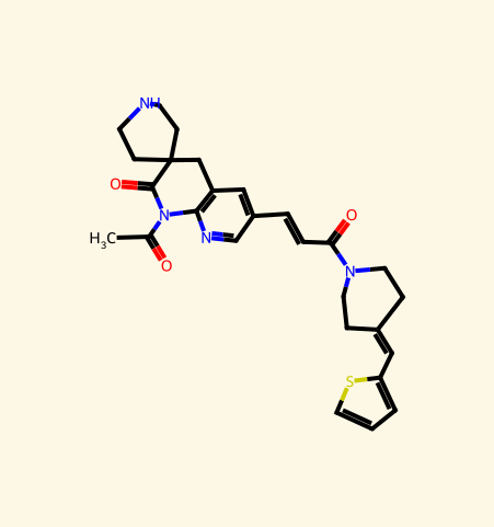 CC(=O)N1C(=O)C2(CCNCC2)Cc2cc(C=CC(=O)N3CCC(=Cc4cccs4)CC3)cnc21